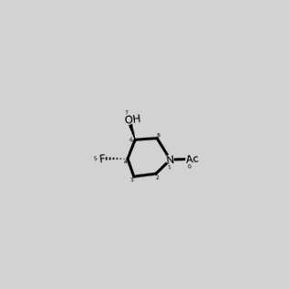 CC(=O)N1CC[C@H](F)[C@@H](O)C1